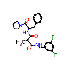 CC(C(=O)NCc1cc(F)cc(F)c1)C(=O)NC(Cc1ccccc1)C(=O)N1CCCC1